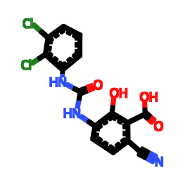 N#Cc1ccc(NC(=O)Nc2cccc(Cl)c2Cl)c(O)c1C(=O)O